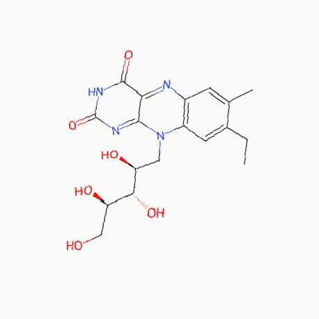 CCc1cc2c(cc1C)nc1c(=O)[nH]c(=O)nc-1n2C[C@H](O)[C@H](O)[C@H](O)CO